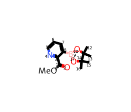 COC(=O)c1ncccc1B1OC(C)(C)C(C)(C)O1